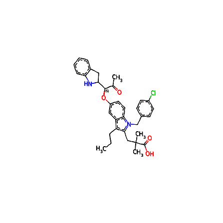 CCCc1c(CC(C)(C)C(=O)O)n(Cc2ccc(Cl)cc2)c2ccc(O[C@H](C(C)=O)C3Cc4ccccc4N3)cc12